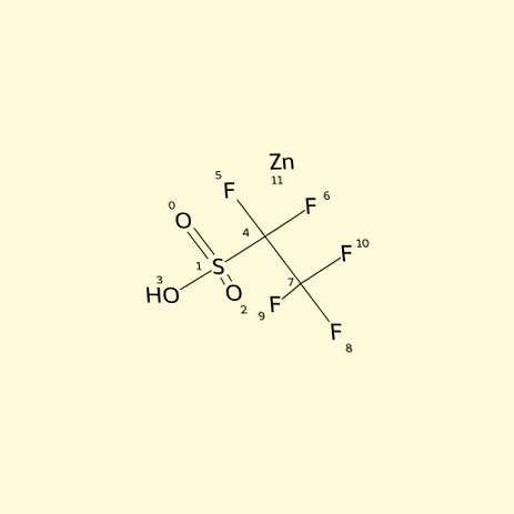 O=S(=O)(O)C(F)(F)C(F)(F)F.[Zn]